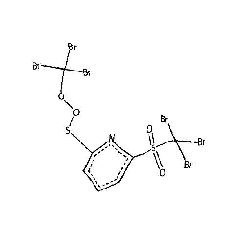 O=S(=O)(c1cccc(SOOC(Br)(Br)Br)n1)C(Br)(Br)Br